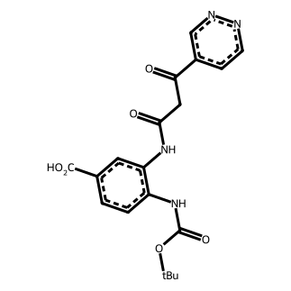 CC(C)(C)OC(=O)Nc1ccc(C(=O)O)cc1NC(=O)CC(=O)c1ccnnc1